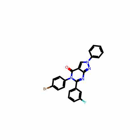 O=c1c2cn(-c3ccccc3)nc2nc(-c2cccc(F)c2)n1-c1ccc(Br)cc1